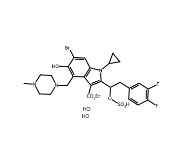 CCOC(=O)c1c(C(Cc2ccc(F)c(F)c2)OS(=O)(=O)O)n(C2CC2)c2cc(Br)c(O)c(CN3CCN(C)CC3)c12.Cl.Cl